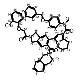 C[C@@H]1Cc2ccccc2CN1C(=O)c1cc2c(cc1-c1cc(C(=O)N(C)c3ccc(OCc4ccccc4)cc3)c3n1CCCC3)CN(C(=O)COc1ccccc1Cl)C2